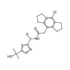 CC(C)(O)c1cnc([S+]([O-])NC(=O)Cc2c3c(c(Cl)c4c2CCC4)CCC3)s1